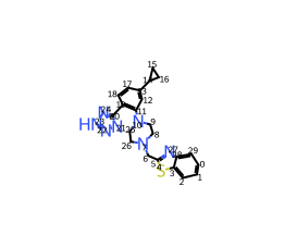 c1ccc2sc(CN3CCN(c4cc(C5CC5)ccc4-c4nn[nH]n4)CC3)nc2c1